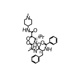 CC(C)[C@H](NC(=O)[C@H](C)N(C)C(=O)[C@H](Cc1ccccc1)NC(=O)c1ccccc1)C(=O)C(=O)NC1CCN(C)CC1